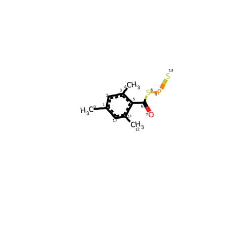 Cc1cc(C)c(C(=O)SP=S)c(C)c1